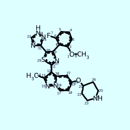 COc1cccc(F)c1-c1nc(-c2c(C)nn3ccc(OC4CCNCC4)cc23)sc1-c1nc[nH]n1